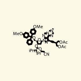 COc1ccc(C(OC[C@H]2O[C@@H](n3nc(C#CC(COC(C)=O)COC(C)=O)c4c(/N=C\N(C)C)ncnc43)C[C@H]2OP(OCCC#N)N(C(C)C)C(C)C)(c2ccccc2)c2ccc(OC)cc2)cc1